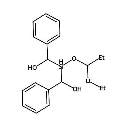 CCOC(CC)O[SiH](C(O)c1ccccc1)C(O)c1ccccc1